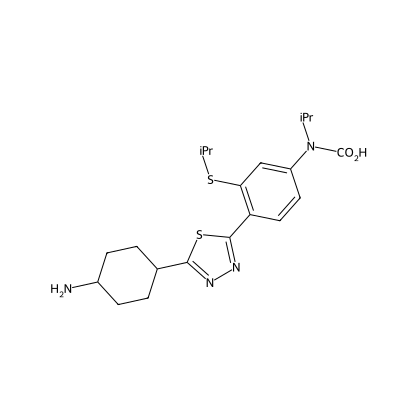 CC(C)Sc1cc(N(C(=O)O)C(C)C)ccc1-c1nnc(C2CCC(N)CC2)s1